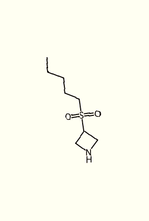 CCCCCS(=O)(=O)C1CNC1